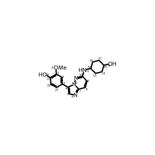 COc1cc(-c2cnc3ccc(NC4CCC(O)CC4)nn23)ccc1O